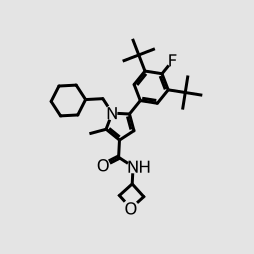 Cc1c(C(=O)NC2COC2)cc(-c2cc(C(C)(C)C)c(F)c(C(C)(C)C)c2)n1CC1CCCCC1